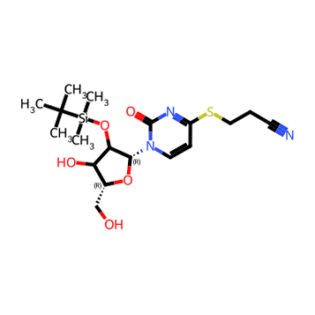 CC(C)(C)[Si](C)(C)OC1C(O)[C@@H](CO)O[C@H]1n1ccc(SCCC#N)nc1=O